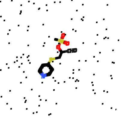 CS(=O)(=O)OC(C=O)CSc1ccncc1